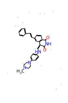 CN1CCN(c2ccc(N/C=C3\C(=O)NC(=O)c4ccc(/C=C/c5ccccc5)cc43)cc2)CC1